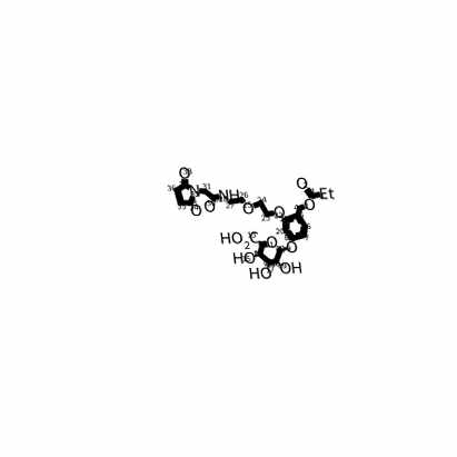 CCC(=O)OCc1ccc(O[C@@H]2O[C@H](C(=O)O)[C@@H](O)[C@H](O)[C@H]2O)cc1OCCOCCNC(=O)CN1C(=O)C=CC1=O